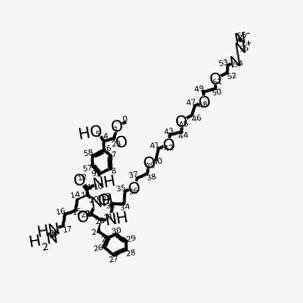 COC(=O)C(O)c1ccc(NC(=O)[C@H](CCCCNN)NC(=O)[C@H](Cc2ccccc2)NC(=O)CCOCCOCCOCCOCCOCCOCCN=[N+]=[N-])cc1